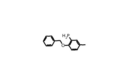 Cc1ccc(OCc2ccccc2)c(P)c1